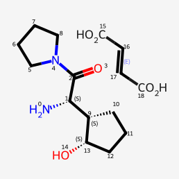 N[C@H](C(=O)N1CCCC1)[C@@H]1CCC[C@@H]1O.O=C(O)/C=C/C(=O)O